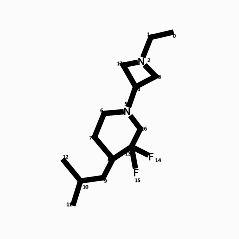 CCN1CC(N2CCC(CC(C)C)C(F)(F)C2)C1